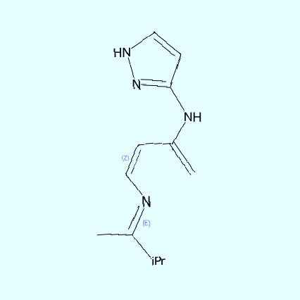 C=C(/C=C\N=C(/C)C(C)C)Nc1cc[nH]n1